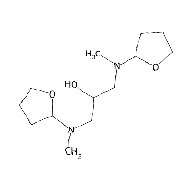 CN(CC(O)CN(C)C1CCCO1)C1CCCO1